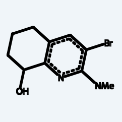 CNc1nc2c(cc1Br)CCCC2O